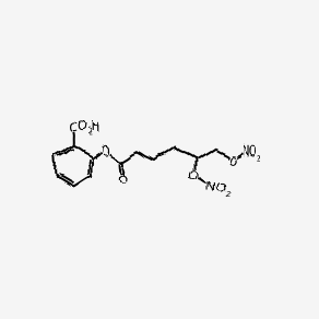 O=C(CCCC(CO[N+](=O)[O-])O[N+](=O)[O-])Oc1ccccc1C(=O)O